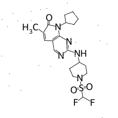 Cc1cc2cnc(NC3CCN(S(=O)(=O)C(F)F)CC3)nc2n(C2CCCC2)c1=O